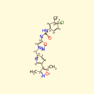 Cc1noc(C)c1-c1ccc(C[n+]2cc([N-]C(=O)Nc3ccc(Cl)c(C(F)(F)F)c3)on2)nc1